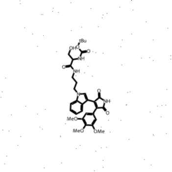 COc1cc(C2=C(c3cn(CCCNC(=O)C(CO)NC(=O)OC(C)(C)C)c4ccccc34)C(=O)NC2=O)cc(OC)c1OC